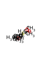 COC(=O)C(C)(C)CSc1ccc(O[Si](C)(C)C(C)(C)C)cc1